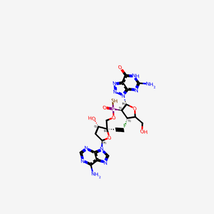 C#C[C@]1(COP(=O)(S)[C@H]2[C@H](n3nnc4c(=O)[nH]c(N)nc43)OC(CO)[C@@H]2F)O[C@@H](n2cnc3c(N)ncnc32)C[C@@H]1O